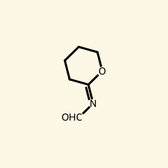 O=CN=C1CCCCO1